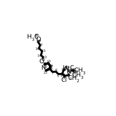 C=C1C(Cl)=C(CCCc2ccc(OCCCCCCOC)nc2)C=NN1C(C)(C)C